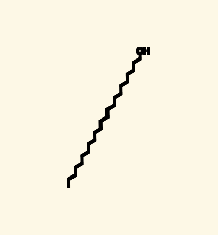 CCCCCCCCCCC=CC=CCCCCCCCCCO